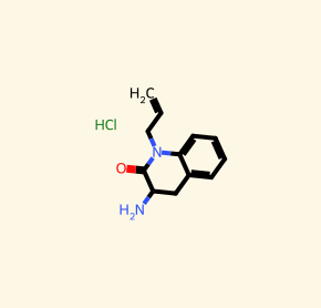 C=CCN1C(=O)C(N)Cc2ccccc21.Cl